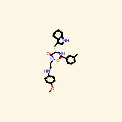 COc1ccc(NCCNC(=O)[C@H](Cc2c[nH]c3ccccc23)NC(=O)c2cccc(C)c2)cc1